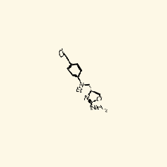 CCN(C[C@@H]1COC(N)=N1)c1ccc(Cl)cc1